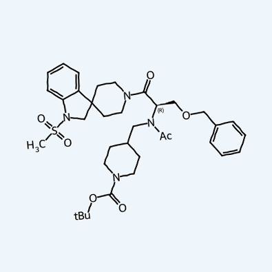 CC(=O)N(CC1CCN(C(=O)OC(C)(C)C)CC1)[C@H](COCc1ccccc1)C(=O)N1CCC2(CC1)CN(S(C)(=O)=O)c1ccccc12